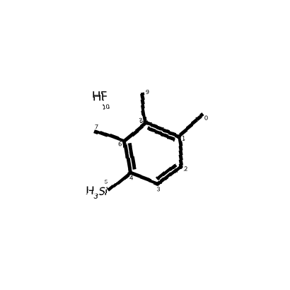 Cc1ccc([SiH3])c(C)c1C.F